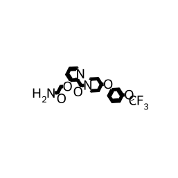 NC(=O)COc1cccnc1C(=O)N1CCC(Oc2cccc(OC(F)(F)F)c2)CC1